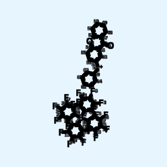 Fc1c(F)c(F)c([B-](c2c(F)c(F)c(F)c(F)c2F)(c2c(F)c(F)c(F)c(F)c2F)c2c(F)c(F)c(F)c(F)c2F)c(F)c1F.O=c1c2ccccc2oc2ccc([I+]c3ccccc3)cc12